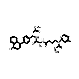 COC(=O)C[C@H](NC(=O)[C@H](NC(=O)CCCN(C(=O)OC(C)(C)C)c1cc(C)ccn1)C(C)C)c1ccc(-c2ccc(O)c3ccccc23)cc1